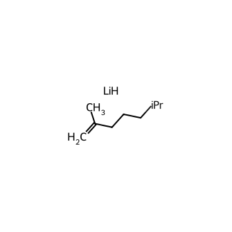 [CH2]C(C)CCCC(=C)C.[LiH]